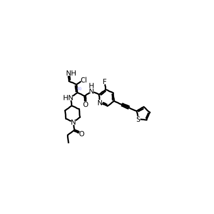 CCC(=O)N1CCC(N/C(C(=O)Nc2ncc(C#Cc3cccs3)cc2F)=C(/Cl)C=N)CC1